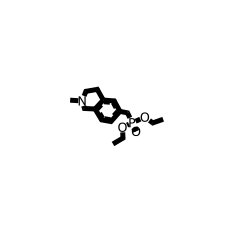 CCOP(=O)(Cc1ccc2c(c1)CCN(C)C2)OCC